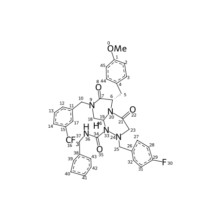 COc1ccc(C[C@H]2C(=O)N(Cc3cccc(C(F)(F)F)c3)C[C@H]3N2C(=O)CN(Cc2ccc(F)cc2)N3C(=O)NCc2ccccc2)cc1